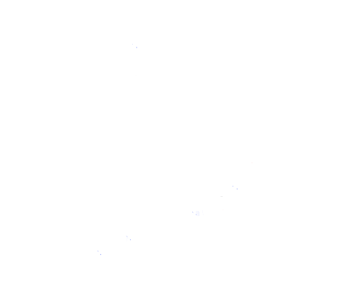 CN1CCN(c2ccc(NC=C3C(=O)NC(=O)c4ccc(C=Cc5ccc(CC#N)cc5)cc43)cc2)CC1